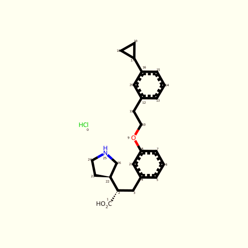 Cl.O=C(O)[C@@H](Cc1cccc(OCCc2cccc(C3CC3)c2)c1)[C@H]1CCNC1